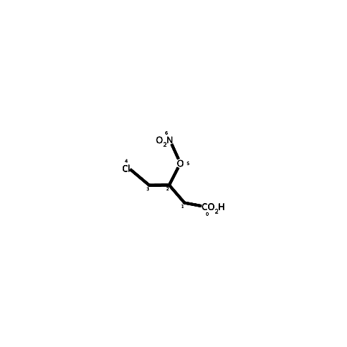 O=C(O)CC(CCl)O[N+](=O)[O-]